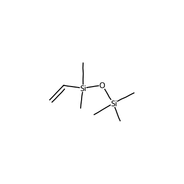 C=C[Si](C)(C)O[Si](C)(C)C